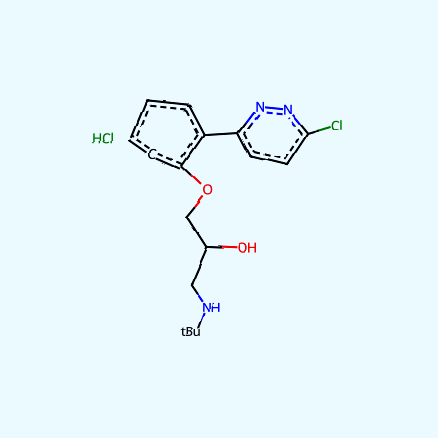 CC(C)(C)NCC(O)COc1ccccc1-c1ccc(Cl)nn1.Cl